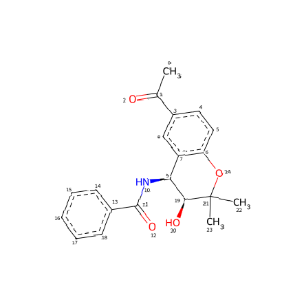 CC(=O)c1ccc2c(c1)[C@H](NC(=O)c1ccccc1)[C@H](O)C(C)(C)O2